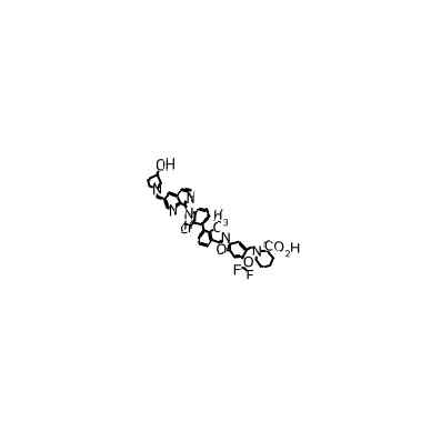 Cc1c(-c2nc3cc(CN4CCCCC4C(=O)O)c(OC(F)F)cc3o2)cccc1-c1cccc(Nc2nccc3cc(CN4CCC(O)C4)cnc23)c1Cl